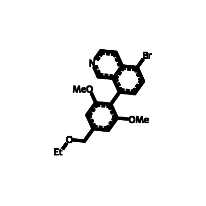 CCOCc1cc(OC)c(-c2ccc(Br)c3ccncc23)c(OC)c1